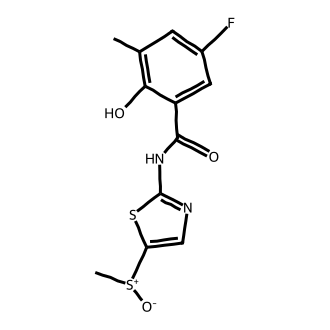 Cc1cc(F)cc(C(=O)Nc2ncc([S+](C)[O-])s2)c1O